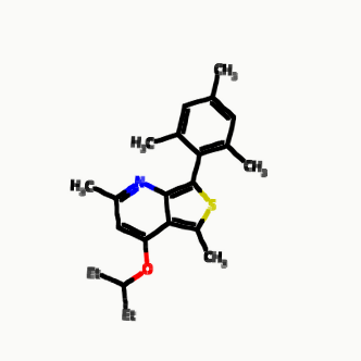 CCC(CC)Oc1cc(C)nc2c(-c3c(C)cc(C)cc3C)sc(C)c12